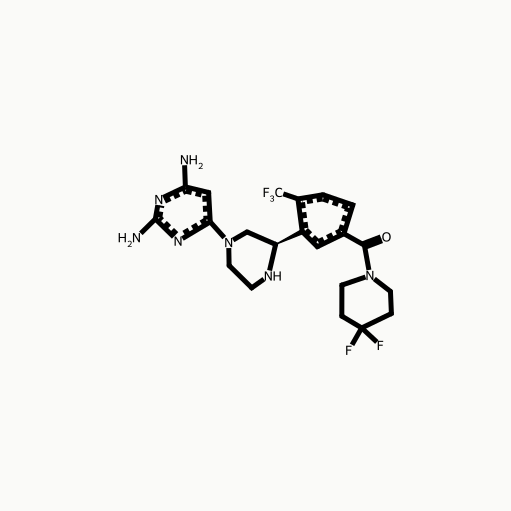 Nc1cc(N2CCN[C@H](c3cc(C(=O)N4CCC(F)(F)CC4)ccc3C(F)(F)F)C2)nc(N)n1